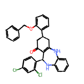 O=C1CC(c2ccccc2OCc2ccccc2)CC2=C1C(c1ccc(Cl)cc1Cl)Nc1ccccc1N2